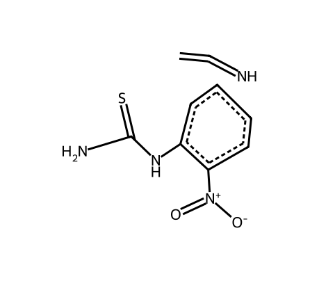 C=C=N.NC(=S)Nc1ccccc1[N+](=O)[O-]